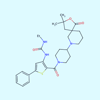 CCNC(=O)Nc1cc(-c2ccccc2)sc1C(=O)N1CCC(N2CCCC3(C2)CC(C)(C)OC3=O)CC1